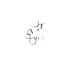 CCC1(C2=CC[C]([Zr][C]3=C(C)C(C)=C(C)C3(C)C)=C2)CCCCC1.Cl.Cl